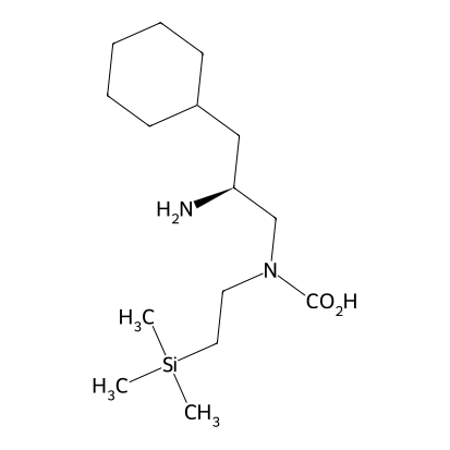 C[Si](C)(C)CCN(C[C@@H](N)CC1CCCCC1)C(=O)O